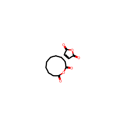 O=C1C=CC(=O)O1.O=C1CCCCCCCCC(=O)O1